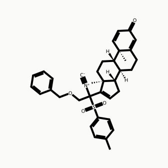 [C-]#[N+]C(COCc1ccccc1)(C1=CC[C@H]2[C@@H]3CCC4=CC(=O)C=C[C@]4(C)[C@H]3CC[C@]12C)S(=O)(=O)c1ccc(C)cc1